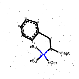 CCCCCCCC[N+](CCCC)(CCCC)C(CCCCCCC)Cc1ccccc1